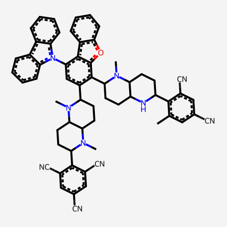 Cc1cc(C#N)cc(C#N)c1C1CCC2C(CCC(c3c(C4CCC5C(CCC(c6c(C#N)cc(C#N)cc6C#N)N5C)N4C)cc(-n4c5ccccc5c5ccccc54)c4c3oc3ccccc34)N2C)N1